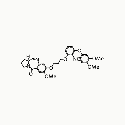 COc1ccc(Oc2cccc(OCCCOc3cc4c(cc3OC)C(=O)N3CCC[C@H]3C=N4)c2[N+](=O)[O-])cc1OC